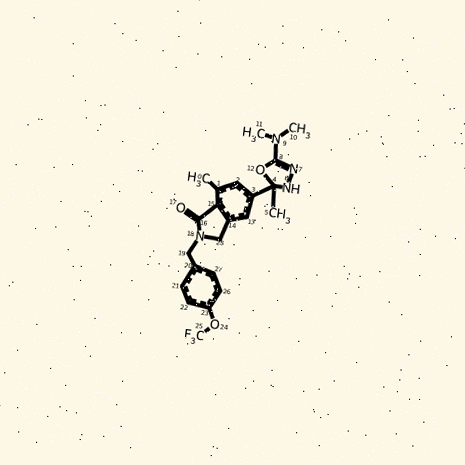 Cc1cc(C2(C)NN=C(N(C)C)O2)cc2c1C(=O)N(Cc1ccc(OC(F)(F)F)cc1)C2